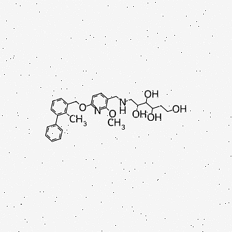 COc1nc(OCc2cccc(-c3ccccc3)c2C)ccc1CNCC(O)C(O)C(O)CCO